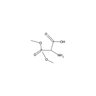 COP(=O)(OC)C(N)C(=O)O